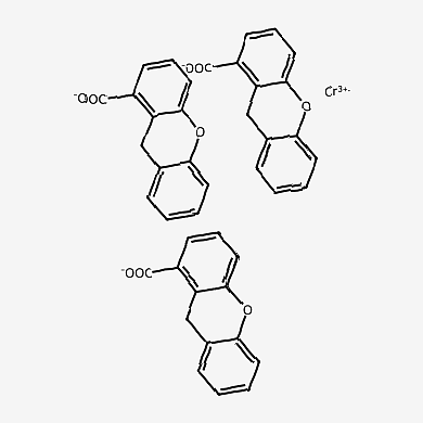 O=C([O-])c1cccc2c1Cc1ccccc1O2.O=C([O-])c1cccc2c1Cc1ccccc1O2.O=C([O-])c1cccc2c1Cc1ccccc1O2.[Cr+3]